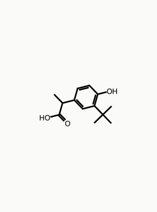 CC(C(=O)O)c1ccc(O)c(C(C)(C)C)c1